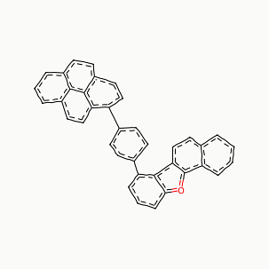 c1ccc2c(c1)ccc1c2oc2cccc(-c3ccc(-c4ccc5ccc6cccc7ccc4c5c67)cc3)c21